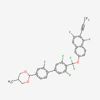 CC1COC(c2ccc(-c3cc(F)c(C(F)(F)Oc4ccc5c(F)c(C#CC(F)(F)F)c(F)cc5c4)c(F)c3)c(F)c2)OC1